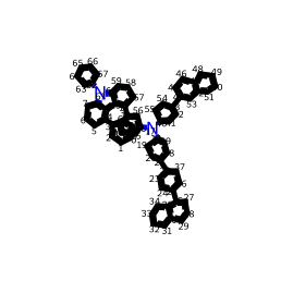 c1ccc(-c2cccc3c2c2c(-c4cccc(N(c5ccc(-c6ccc(-c7cccc8ccccc78)cc6)cc5)c5ccc(-c6ccc7ccccc7c6)cc5)c4)cccc2n3-c2ccccc2)cc1